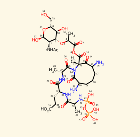 CC(=O)N[C@@H]1[C@@H](OC(C)C(=O)OC(=O)[C@]2(C)C(=O)C(N)CCCC(N)C(=O)N2C(=O)[C@@H](C)NC(=O)[C@@H](CCC(=O)O)NC(=O)[C@H](C)NP(=O)(O)OP(=O)(O)O)[C@H](O)[C@@H](CO)O[C@@H]1O